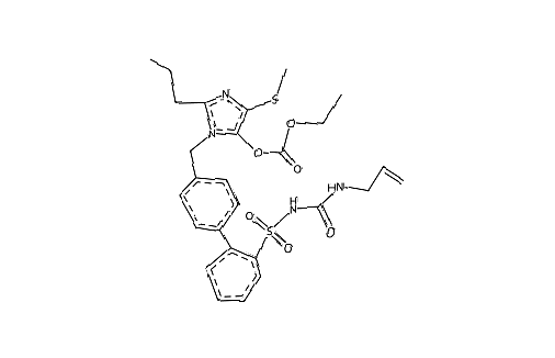 C=CCNC(=O)NS(=O)(=O)c1ccccc1-c1ccc(Cn2c(CCC)nc(SC)c2OC(=O)OCC)cc1